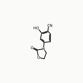 N#Cc1ccc(N2CCOC2=O)cc1O